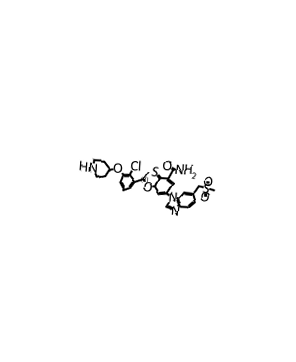 C[C@@H](OC1C=C(n2cnc3ccc(CS(C)(=O)=O)cc32)C=C(C(N)=O)C1=S)c1cccc(OC2CCNCC2)c1Cl